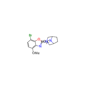 COc1ccc(Br)c2oc(N3CC4CCC(C3)N4C(=O)O)nc12